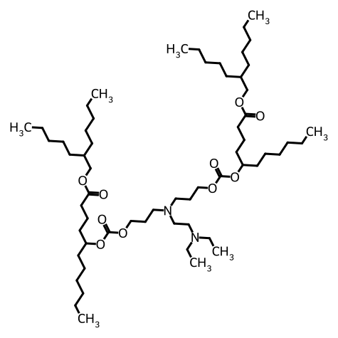 CCCCCCC(CCCC(=O)OCC(CCCCC)CCCCC)OC(=O)OCCCN(CCCOC(=O)OC(CCCCCC)CCCC(=O)OCC(CCCCC)CCCCC)CCN(CC)CC